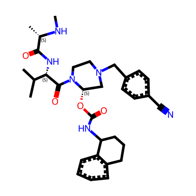 CN[C@@H](C)C(=O)N[C@H](C(=O)N1CCN(Cc2ccc(C#N)cc2)C[C@@H]1OC(=O)NC1CCCc2ccccc21)C(C)C